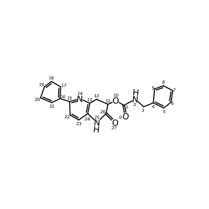 O=C(NCc1ccccc1)OC1Cc2nc(-c3ccccc3)ccc2NC1=O